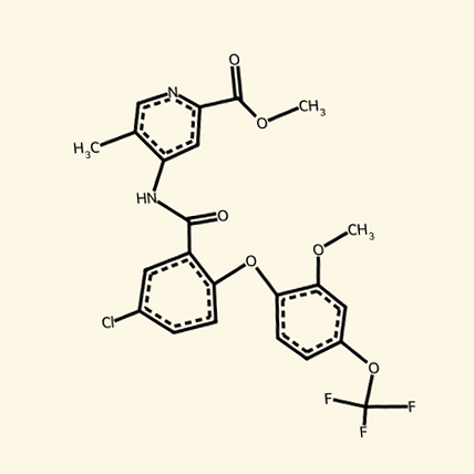 COC(=O)c1cc(NC(=O)c2cc(Cl)ccc2Oc2ccc(OC(F)(F)F)cc2OC)c(C)cn1